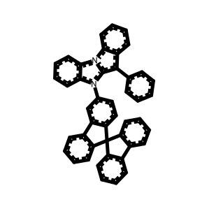 c1ccc(-c2c3ccccc3n3c4ccccc4n(-c4ccc5c(c4)-c4ccccc4C54c5ccccc5-c5ccccc54)c23)cc1